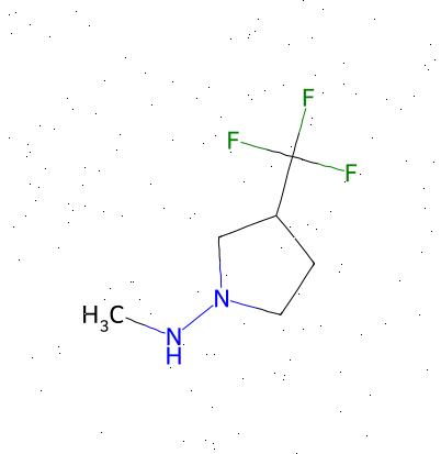 CNN1CCC(C(F)(F)F)C1